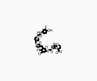 O=C(C[n+]1ccc(CN2CC/C(=C\c3c(Cl)c(Cl)cc(SCC(=O)N4O[C@@H]5C4N4C(C(=O)[O-])=CCS[C@H]54)c3Cl)C2=O)cc1)Nc1ccc(O)c(F)c1